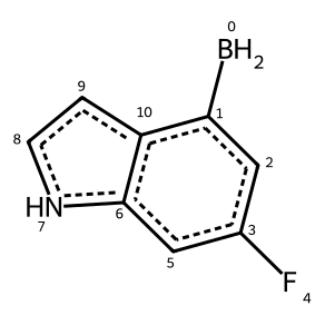 Bc1cc(F)cc2[nH]ccc12